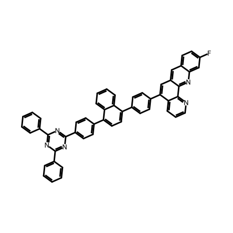 Fc1ccc2cc3cc(-c4ccc(-c5ccc(-c6ccc(-c7nc(-c8ccccc8)nc(-c8ccccc8)n7)cc6)c6ccccc56)cc4)c4cccnc4c3nc2c1